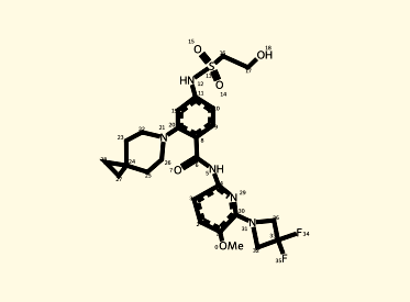 COc1ccc(NC(=O)c2ccc(NS(=O)(=O)CCO)cc2N2CCC3(CC2)CC3)nc1N1CC(F)(F)C1